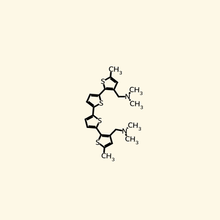 Cc1cc(CN(C)C)c(-c2ccc(-c3ccc(-c4sc(C)cc4CN(C)C)s3)s2)s1